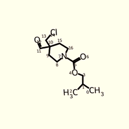 CC(C)COC(=O)N1CCC(C=O)(CCl)CC1